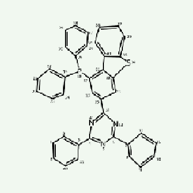 c1ccc(-c2nc(-c3ccccc3)nc(-c3cc(P(c4ccccc4)c4ccccc4)c4c(c3)sc3ccccc34)n2)cc1